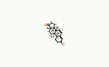 CC[C@@]12CCC(=O)C=C1C=C[C@@H]1[C@@H]2CC[C@]2(C)C(=O)CC[C@@H]12